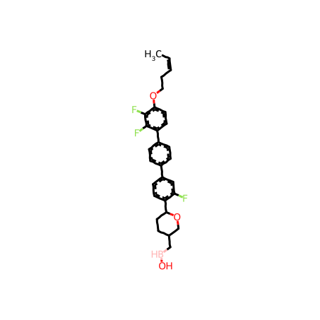 C/C=C\CCOc1ccc(-c2ccc(-c3ccc(C4CCC(CBO)CO4)c(F)c3)cc2)c(F)c1F